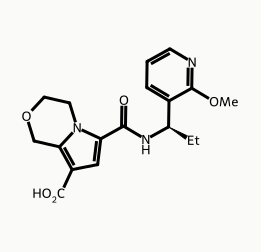 CC[C@@H](NC(=O)c1cc(C(=O)O)c2n1CCOC2)c1cccnc1OC